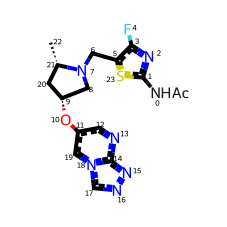 CC(=O)Nc1nc(F)c(CN2C[C@H](Oc3cnc4nncn4c3)C[C@@H]2C)s1